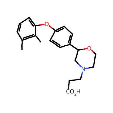 Cc1cccc(Oc2ccc(C3CN(CCC(=O)O)CCO3)cc2)c1C